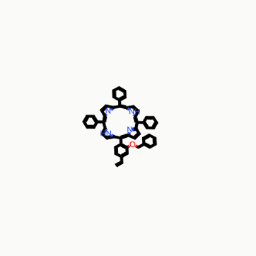 C=Cc1ccc(-c2c3nc(c(-c4ccccc4)c4ccc([nH]4)c(-c4ccccc4)c4nc(c(-c5ccccc5)c5ccc2[nH]5)C=C4)C=C3)c(OCc2ccccc2)c1